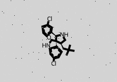 CC(C)(C)C[C@@H]1CN[C@H](c2cccc(Cl)c2)[C@]12C(=O)Nc1cc(Cl)ccc12